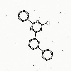 Clc1cc(-c2cccc(-c3ccccc3)c2)nc(-c2ccccc2)n1